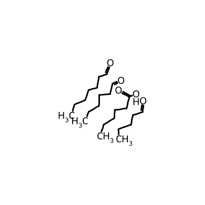 CCCCC=O.CCCCCC(=O)O.CCCCCC=O.CCCCCCC=O